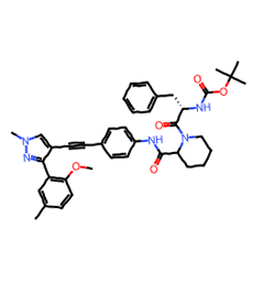 COc1ccc(C)cc1-c1nn(C)cc1C#Cc1ccc(NC(=O)C2CCCCN2C(=O)[C@H](Cc2ccccc2)NC(=O)OC(C)(C)C)cc1